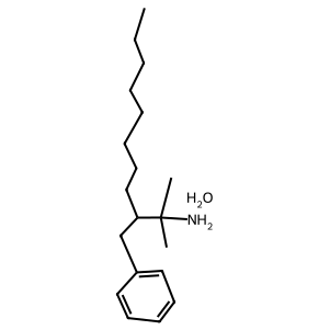 CCCCCCCCC(Cc1ccccc1)C(C)(C)N.O